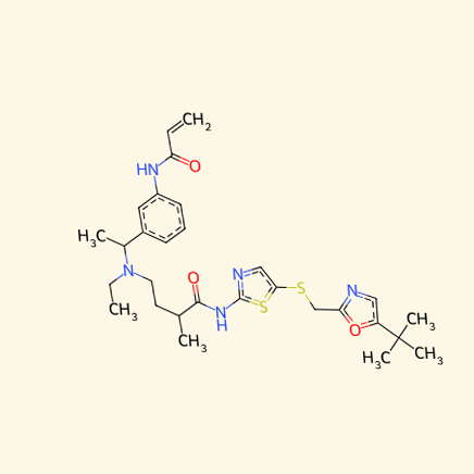 C=CC(=O)Nc1cccc(C(C)N(CC)CCC(C)C(=O)Nc2ncc(SCc3ncc(C(C)(C)C)o3)s2)c1